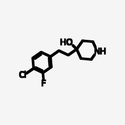 OC1(CCc2ccc(Cl)c(F)c2)CCNCC1